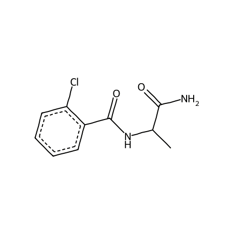 CC(NC(=O)c1ccccc1Cl)C(N)=O